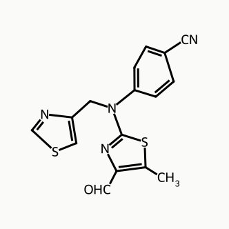 Cc1sc(N(Cc2cscn2)c2ccc(C#N)cc2)nc1C=O